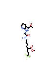 COC(=O)C(CCCCNC(=O)Cn1nc(C(C)=O)c2cccnc21)CCC(F)(F)F